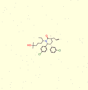 C=CC[C@@]1(C)C[C@H](c2cccc(Cl)c2)C(c2ccc(Cl)cc2)N(C(CC)CCCC(C)(C)O)C1=O